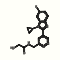 CCC(=O)NCc1cc(-c2nc3ccc(F)cc3n2C2CC2)cnn1